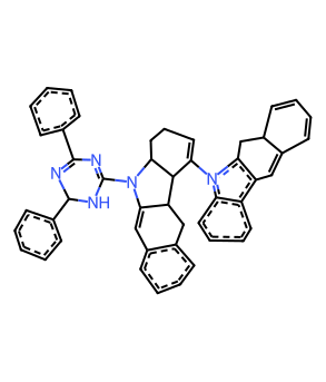 C1=CC2=Cc3c(n(C4=CCCC5C4C4Cc6ccccc6C=C4N5C4=NC(c5ccccc5)=NC(c5ccccc5)N4)c4ccccc34)CC2C=C1